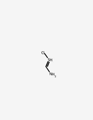 NC=[SH]Cl